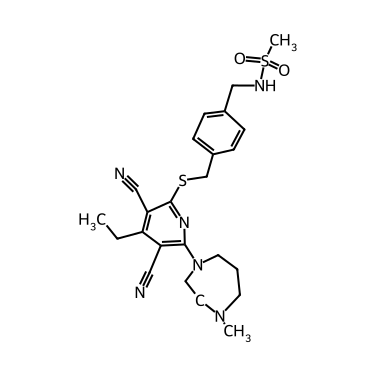 CCc1c(C#N)c(SCc2ccc(CNS(C)(=O)=O)cc2)nc(N2CCCN(C)CC2)c1C#N